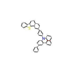 c1ccc(-c2ccc(N(c3ccccc3)c3ccc(-c4ccc5ccc6c7ccccc7sc6c5c4)cc3)c(-c3ccccc3)c2)cc1